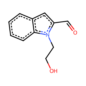 O=Cc1cc2ccccc2n1CCO